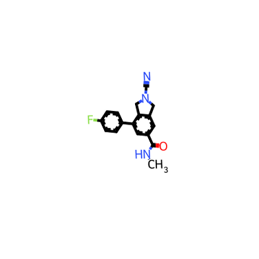 CNC(=O)c1cc2c(c(-c3ccc(F)cc3)c1)CN(C#N)C2